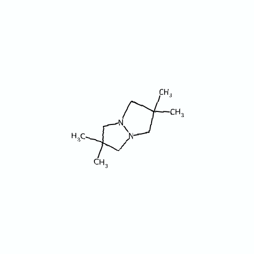 CC1(C)CN2CC(C)(C)CN2C1